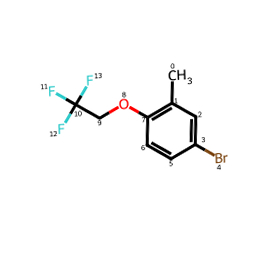 Cc1cc(Br)ccc1OCC(F)(F)F